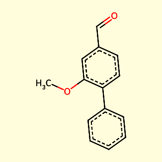 COc1cc(C=O)ccc1-c1ccccc1